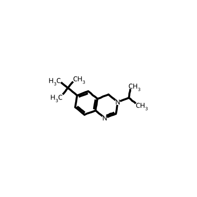 CC(C)N1C=Nc2ccc(C(C)(C)C)cc2C1